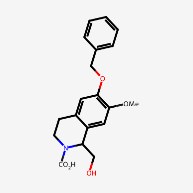 COc1cc2c(cc1OCc1ccccc1)CCN(C(=O)O)C2CO